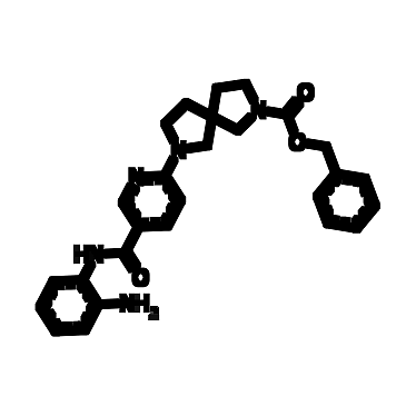 Nc1ccccc1NC(=O)c1ccc(N2CCC3(CCN(C(=O)OCc4ccccc4)C3)C2)nc1